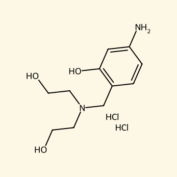 Cl.Cl.Nc1ccc(CN(CCO)CCO)c(O)c1